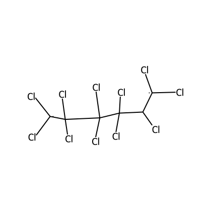 Cl[C](Cl)C(Cl)C(Cl)(Cl)C(Cl)(Cl)C(Cl)(Cl)[C](Cl)Cl